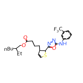 CCCCC(CC)COC(=O)CCCC1C=CSC1c1nnc(Nc2cccc(C(F)(F)F)c2)o1